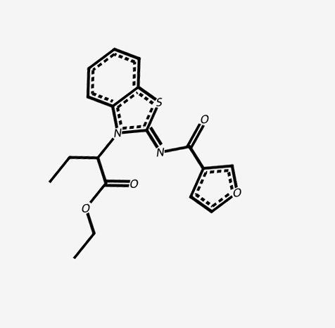 CCOC(=O)C(CC)n1c(=NC(=O)c2ccoc2)sc2ccccc21